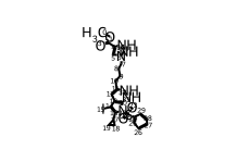 COC(=O)C1=CN(CCCCC2=Cc3c(I)c(C4CC4)n(S(=O)(=O)c4ccccc4)c3NN2)NN1